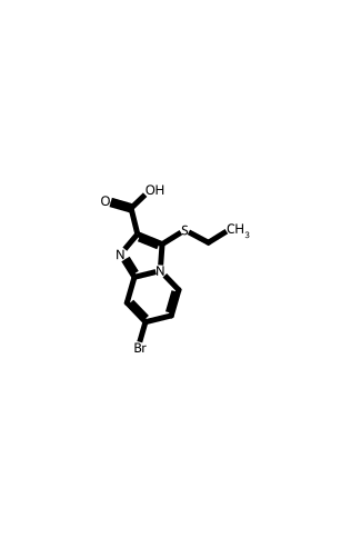 CCSc1c(C(=O)O)nc2cc(Br)ccn12